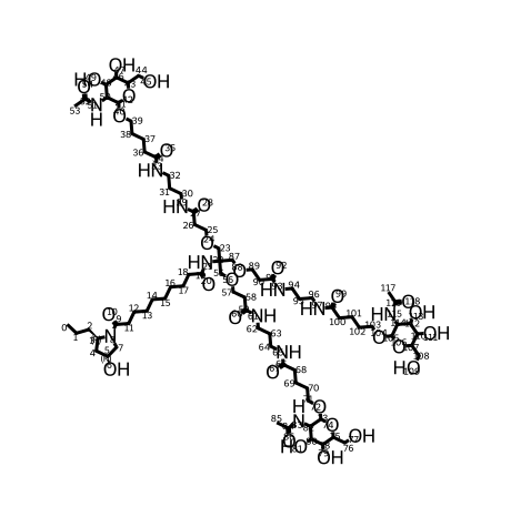 CCC[C@@H]1C[C@@H](O)CN1C(=O)CCCCCCCCC(=O)NC(COCCC(=O)NCCCNC(=O)CCCCOC1OC(CO)C(O)C(O)C1NC(C)=O)(COCCC(=O)NCCCNC(=O)CCCCOC1OC(CO)C(O)C(O)C1NC(C)=O)COCCC(=O)NCCCNC(=O)CCCCOC1OC(CO)C(O)C(O)C1NC(C)=O